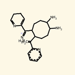 C=C(c1ccccn1)C1CCC(N)C(N)CCC1/C(=N\N)C1=CCCC=N1